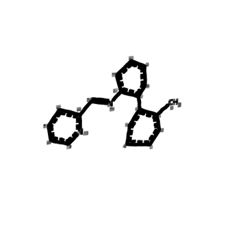 Cc1ccccc1-c1ccccc1/N=C/c1ccccn1